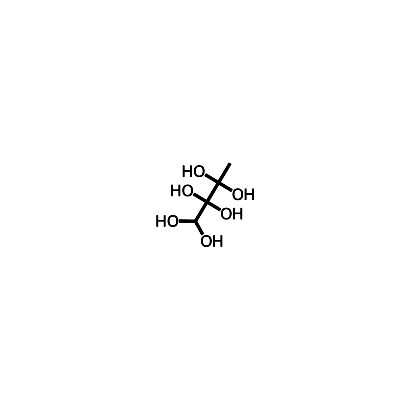 CC(O)(O)C(O)(O)C(O)O